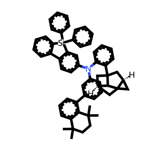 CC1(C)CCC(C)(C)c2c(-c3cccc(N(c4ccc5c(c4)[Si](c4ccccc4)(c4ccccc4)c4ccccc4-5)c4ccccc4C45C[C@@H]6CC7(C[C@@H]7C4)C65)c3)cccc21